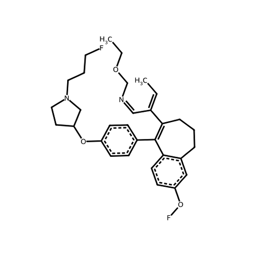 C/C=C(\C=N/COCC)C1=C(c2ccc(OC3CCN(CCCF)C3)cc2)c2ccc(OF)cc2CCC1